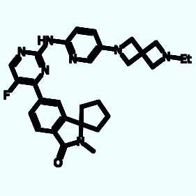 CCN1CC2(C1)CN(c1ccc(Nc3ncc(F)c(-c4ccc5c(c4)C4(CCCC4)N(C)C5=O)n3)nc1)C2